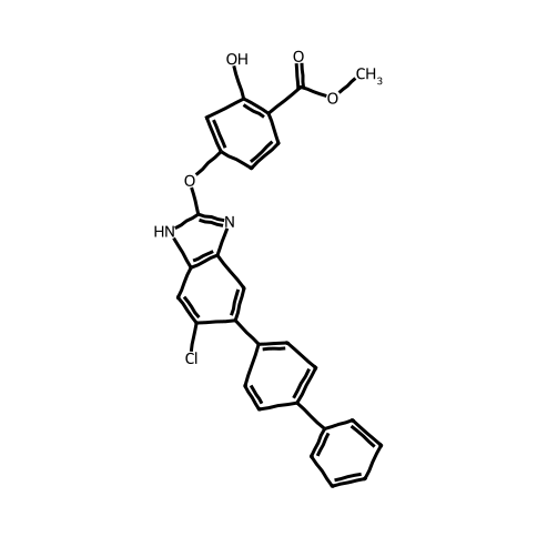 COC(=O)c1ccc(Oc2nc3cc(-c4ccc(-c5ccccc5)cc4)c(Cl)cc3[nH]2)cc1O